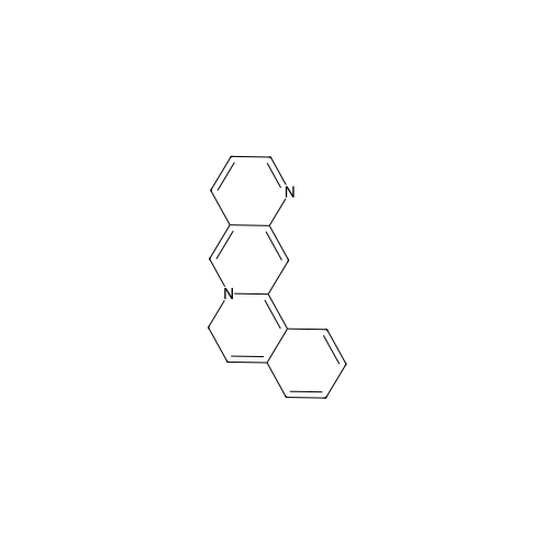 C1=c2ccccc2=C2C=c3ncccc3=CN2C1